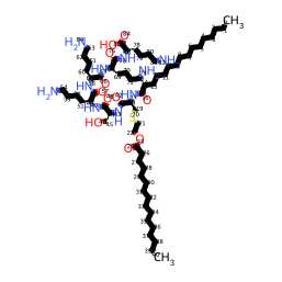 CCCCCCCCCCCCCCCC(=O)N[C@@H](CSCCOC(=O)CCCCCCCCCCCCCCC)C(=O)N[C@H](CO)C(=O)N[C@@H](CCCCN)C(=O)N[C@@H](CCCCN)C(=O)N[C@@H](CCCCN)C(=O)N[C@@H](CCCCN)C(=O)O